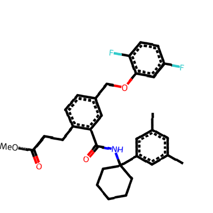 COC(=O)CCc1ccc(COc2cc(F)ccc2F)cc1C(=O)NC1(c2cc(C)cc(C)c2)CCCCC1